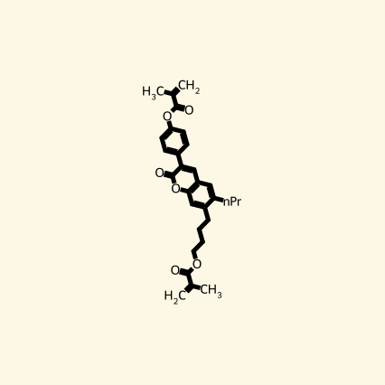 C=C(C)C(=O)OCCCCc1cc2oc(=O)c(-c3ccc(OC(=O)C(=C)C)cc3)cc2cc1CCC